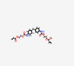 C=CC(=O)OCCOC(=O)Nc1ccc(Cc2ccc(NC(=O)OCCOC(=O)C=C)cc2)cc1